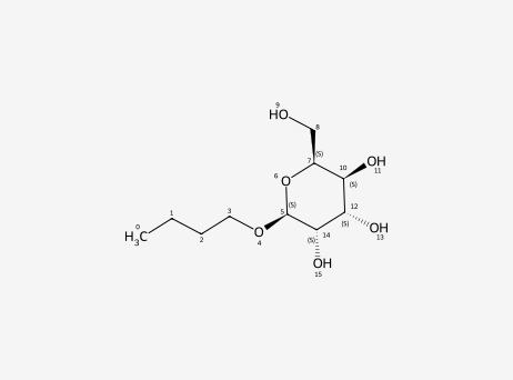 CCCCO[C@H]1O[C@@H](CO)[C@@H](O)[C@H](O)[C@@H]1O